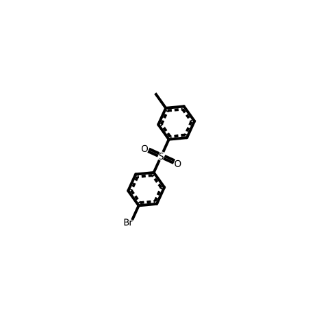 Cc1cccc(S(=O)(=O)c2ccc(Br)cc2)c1